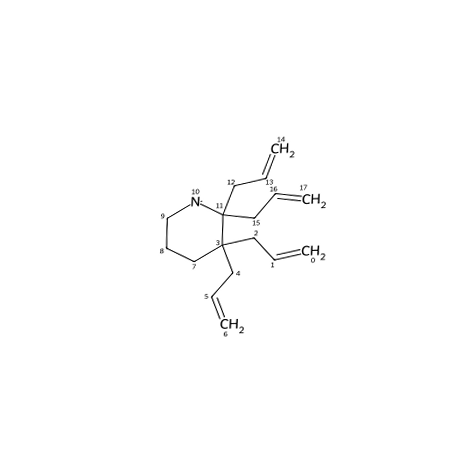 C=CCC1(CC=C)CCC[N]C1(CC=C)CC=C